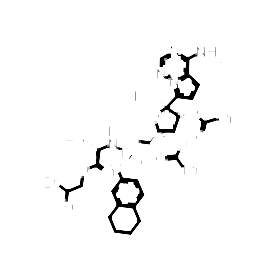 CCC(CC)COC(=O)[C@H](C)NP(=O)(OC[C@H]1O[C@@](C)(c2ccc3c(N)ncnn23)[C@H](OC(=O)C(C)C)[C@@H]1OC(=O)C(C)C)Oc1ccc2c(c1)CCCC2